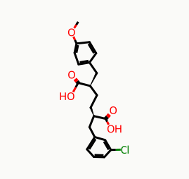 COc1ccc(C[C@@H](CC[C@H](Cc2cccc(Cl)c2)C(=O)O)C(=O)O)cc1